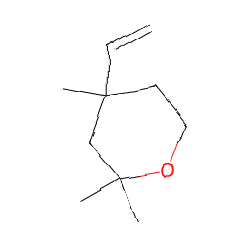 C=CC1(C)CCOC(C)(C)C1